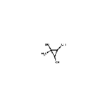 [CH2]C1(O)C(O)C1O